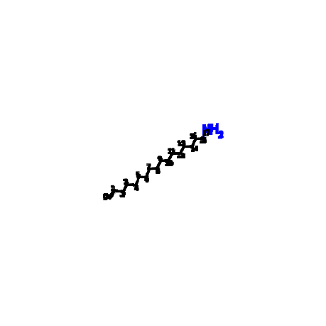 C=CCCCCCCCCCCCCCCCN